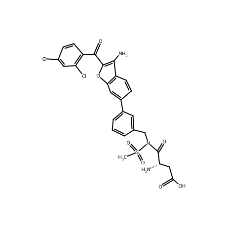 CS(=O)(=O)N(Cc1cccc(-c2ccc3c(N)c(C(=O)c4ccc(Cl)cc4Cl)oc3c2)c1)C(=O)[C@@H](N)CC(=O)O